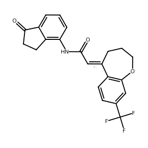 O=C(/C=C1\CCCOc2cc(C(F)(F)F)ccc21)Nc1cccc2c1CCC2=O